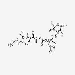 C\C=C/C=C(F)\C(=C\F)NC(=O)C(=O)NCC(=O)NC(CC(=O)O)C(=O)COc1c(F)c(F)cc(F)c1F